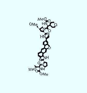 COC[C@H]1C[C@@H](c2ncc(-c3ccc4c(c3)COc3cc5c(ccc6nc([C@@H]7CC[C@H](C)N7C(=O)[C@@H](NC(=O)OC)[C@@H](C)OC)[nH]c65)cc3-4)[nH]2)N(C(=O)[C@@H](NC(=O)OC)C2CCOCC2)C1